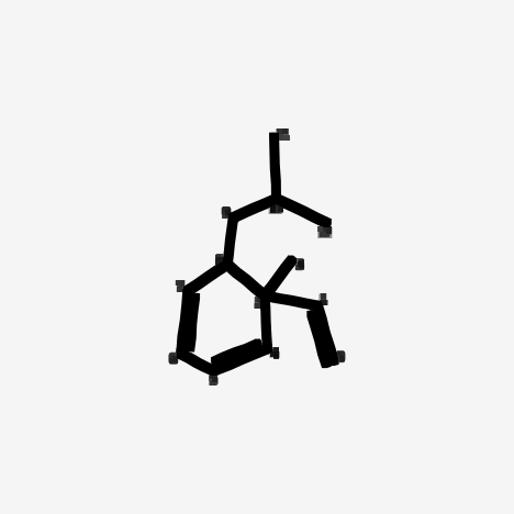 C=CC1(C)C=CC=CC1CC(C)C